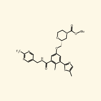 Cc1cnc(-c2cc(OC[C@H]3CN(C(=O)OC(C)(C)C)CCO3)cc(C(=O)NCc3cnc(C(F)(F)F)nc3)c2F)s1